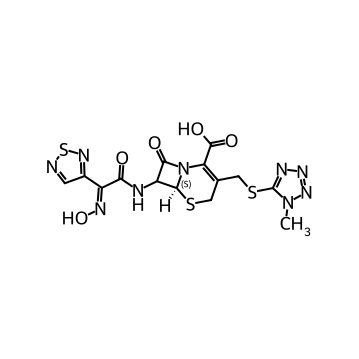 Cn1nnnc1SCC1=C(C(=O)O)N2C(=O)C(NC(=O)C(=NO)c3cnsn3)[C@@H]2SC1